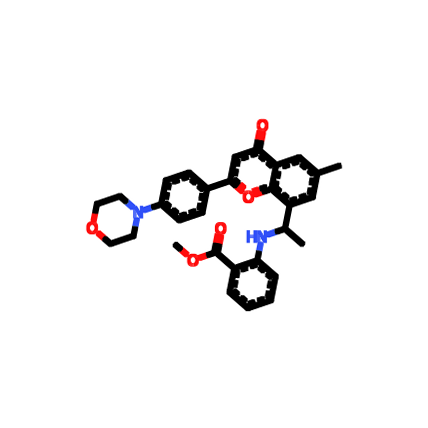 COC(=O)c1ccccc1NC(C)c1cc(C)cc2c(=O)cc(-c3ccc(N4CCOCC4)cc3)oc12